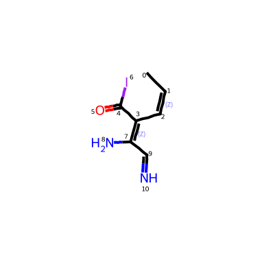 C/C=C\C(C(=O)I)=C(\N)C=N